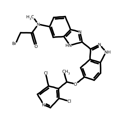 CC(Oc1ccc2[nH]nc(-c3nc4ccc(N(C)C(=O)CBr)cc4[nH]3)c2c1)c1c(Cl)cncc1Cl